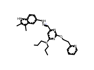 CCCN(CCC)c1cc(/C=N/Nc2ccc3[nH]c(C)c(C)c3c2)nc(OCCc2ccccn2)n1